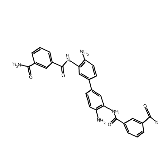 NC(=O)c1cccc(C(=O)Nc2cc(-c3ccc(N)c(NC(=O)c4cccc(C(N)=O)c4)c3)ccc2N)c1